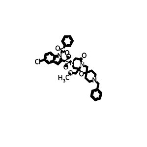 COCC12CN(S(=O)(=O)c3cc4cc(Cl)ccc4n3S(=O)(=O)c3ccccc3)CC(=O)N1CC1(CCN(Cc3ccccc3)CC1)O2